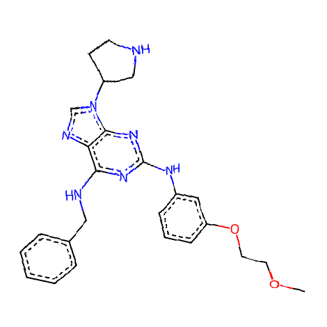 COCCOc1cccc(Nc2nc(NCc3ccccc3)c3ncn(C4CCNC4)c3n2)c1